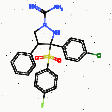 N=C(N)N1CC(c2ccccc2)C(c2ccc(Cl)cc2)(S(=O)(=O)c2ccc(F)cc2)N1